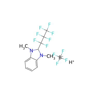 CN1c2ccccc2N(C)C1C(F)(F)C(F)(F)C(F)(F)F.F[B-](F)(F)F.[H+]